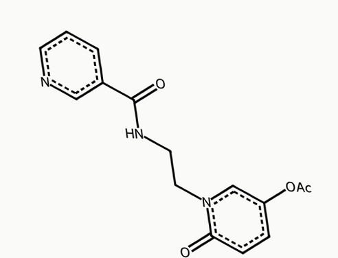 CC(=O)Oc1ccc(=O)n(CCNC(=O)c2cccnc2)c1